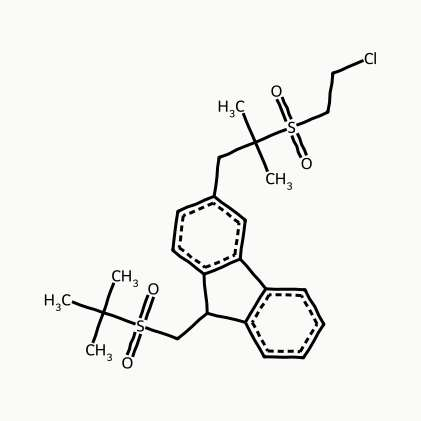 CC(C)(C)S(=O)(=O)CC1c2ccccc2-c2cc(CC(C)(C)S(=O)(=O)CCCl)ccc21